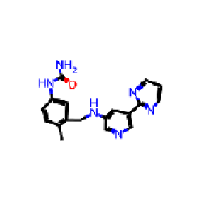 Cc1ccc(NC(N)=O)cc1CNc1cncc(-c2ncccn2)c1